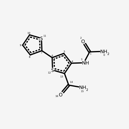 NC(=O)Nc1cc(-c2cccs2)sc1C(N)=O